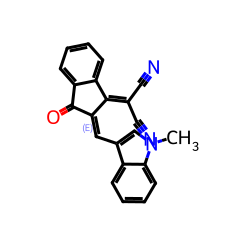 Cn1cc(/C=C2/C(=O)c3ccccc3C2=C(C#N)C#N)c2ccccc21